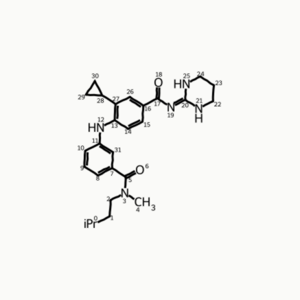 CC(C)CCN(C)C(=O)c1cccc(Nc2ccc(C(=O)N=C3NCCCN3)cc2C2CC2)c1